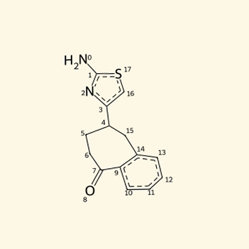 Nc1nc(C2CCC(=O)c3ccccc3C2)cs1